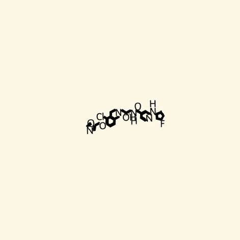 O=C(NC[C@H](O)CN1CCc2c(ccc(OCc3cnco3)c2Cl)C1)c1ccnc(NC2CCC(F)C2)c1